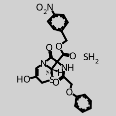 O=C(COc1ccccc1)NC1(C(=O)OCc2ccc([N+](=O)[O-])cc2)C(=O)N2C=C(O)CS[C@H]21.S